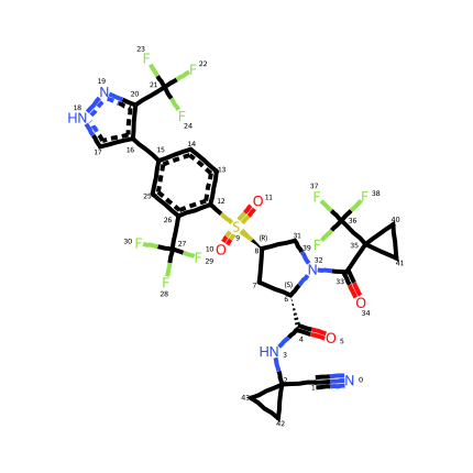 N#CC1(NC(=O)[C@@H]2C[C@@H](S(=O)(=O)c3ccc(-c4c[nH]nc4C(F)(F)F)cc3C(F)(F)F)CN2C(=O)C2(C(F)(F)F)CC2)CC1